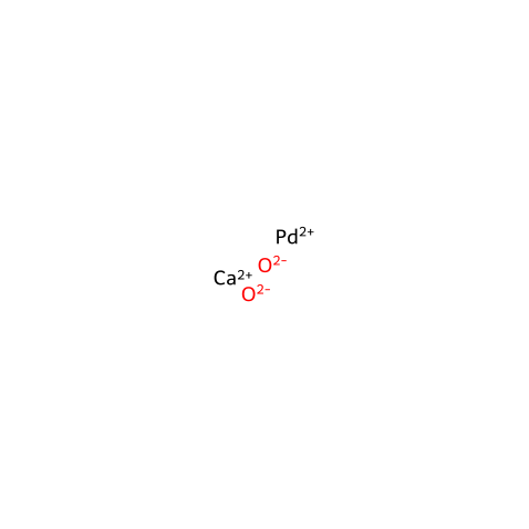 [Ca+2].[O-2].[O-2].[Pd+2]